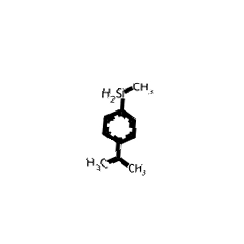 C[SiH2]c1ccc(C(C)C)cc1